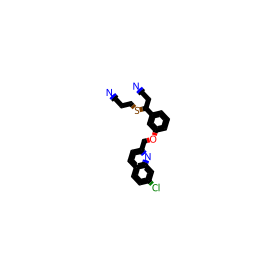 N#CCCSC(CC#N)c1cccc(OCc2ccc3ccc(Cl)cc3n2)c1